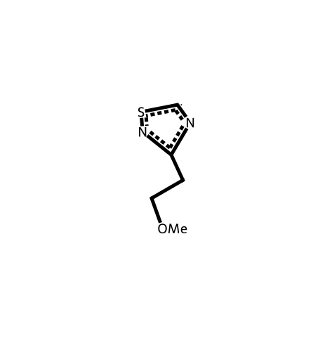 COCCc1n[c]sn1